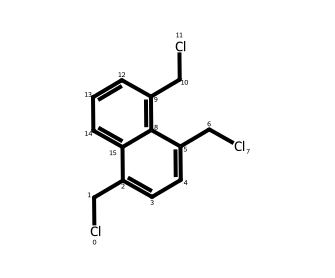 ClCc1ccc(CCl)c2c(CCl)cccc12